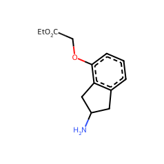 CCOC(=O)COc1cccc2c1CC(N)C2